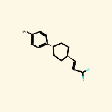 CCCc1ccc([C@H]2CC[C@H](C=CC(F)F)CC2)cc1